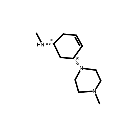 CN[C@@H]1CC=C[C@H](N2CCN(C)CC2)C1